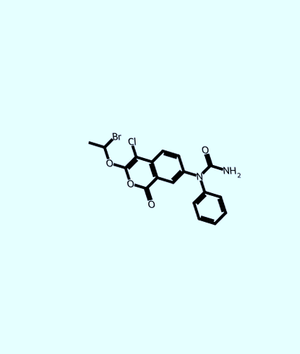 CC(Br)Oc1oc(=O)c2cc(N(C(N)=O)c3ccccc3)ccc2c1Cl